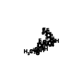 CCCS(=O)(=O)Nc1ccc(F)c(C(=O)Nc2cnc3[nH]cc(-c4ccc(C(F)(F)F)cc4)c3c2)c1F